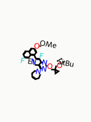 CCc1c(F)ccc2cc(OCOC)cc(-c3ncc4c(N5CCC=CCC5)nc(OCC5(CO[Si](C)(C)C(C)(C)C)CC5)nc4c3F)c12